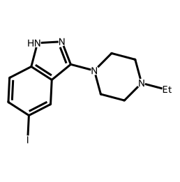 CCN1CCN(c2n[nH]c3ccc(I)cc23)CC1